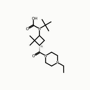 CCN1CCN(C(=O)[C@H]2CC(N(C(=O)O)C(C)(C)C)C2(C)C)CC1